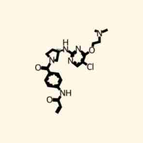 C=CC(=O)Nc1ccc(C(=O)N2CC[C@@H](Nc3ncc(Cl)c(OCCN(C)C)n3)C2)cc1